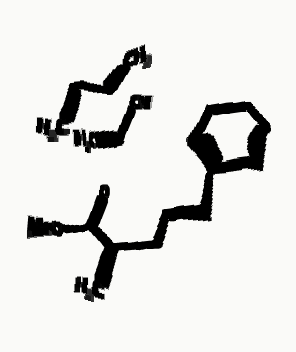 C=C(CC=Cc1ccccc1)C(=O)OC.C=CC#N.C=CC=C